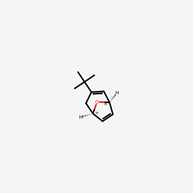 CC(C)(C)C1=C[C@H]2C=C[C@@H](C1)O2